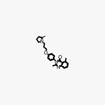 Cc1cccc2nc(C)n(-c3ccc(OCCCN4CCC[C@H]4C)cc3)c(=O)c12